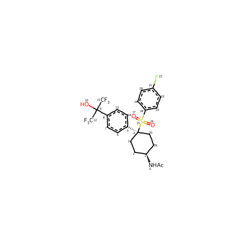 CC(=O)N[C@H]1CC[C@@](c2ccc(C(O)(C(F)(F)F)C(F)(F)F)cc2)(S(=O)(=O)c2ccc(F)cc2)CC1